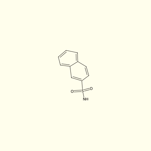 [NH]S(=O)(=O)c1ccc2ccccc2c1